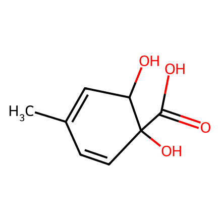 CC1=CC(O)C(O)(C(=O)O)C=C1